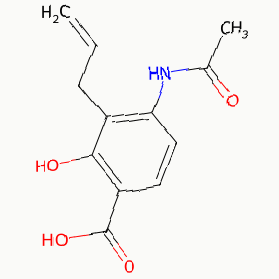 C=CCc1c(NC(C)=O)ccc(C(=O)O)c1O